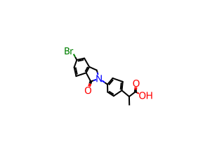 CC(C(=O)O)c1ccc(N2Cc3cc(Br)ccc3C2=O)cc1